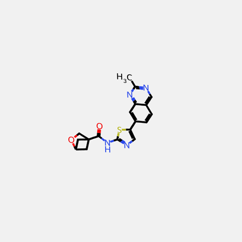 Cc1ncc2ccc(-c3cnc(NC(=O)C45COC(C4)C5)s3)cc2n1